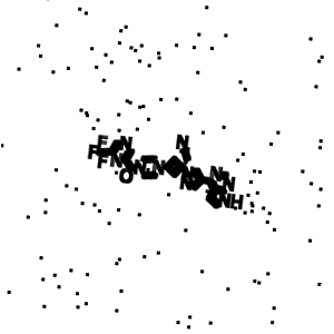 N#CC[C@]1(n2cc(-c3ncnc4[nH]ccc34)cn2)C[C@@H](N2CCN(C(=O)c3cncc(C(F)(F)F)n3)CC2)C1